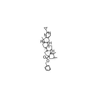 C[C@@H]1[C@H]2C3=CC[C@H]4[C@]5(C)Cc6cnc(C7CC7)nc6C(C)(C)[C@H]5CC[C@]4(C)[C@]3(C)CC[C@@]2(C(=O)OCc2ccccc2)CC[C@@H]1C